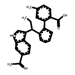 CCC(c1ccccc1-c1cc(C)ccc1C(=O)O)c1c[nH]c2cc(C(=N)N)ccc12